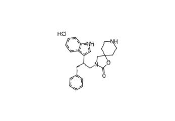 Cl.O=C1OC2(CCNCC2)CN1CC(Cc1ccccc1)c1c[nH]c2ccccc12